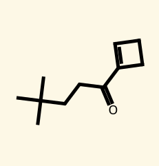 CC(C)(C)CCC(=O)C1=CCC1